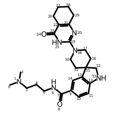 CN(C)CCCNC(=O)c1ccc2c(c1)C1(CCN(c3nc4c(c(=O)[nH]3)CCCC4)CC1)CN2